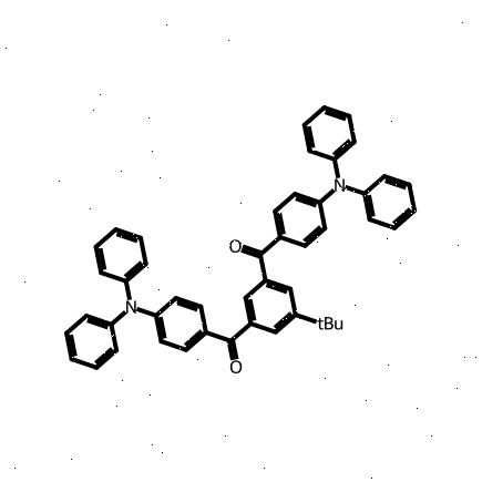 CC(C)(C)c1cc(C(=O)c2ccc(N(c3ccccc3)c3ccccc3)cc2)cc(C(=O)c2ccc(N(c3ccccc3)c3ccccc3)cc2)c1